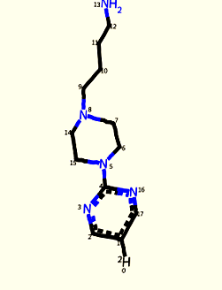 [2H]c1cnc(N2CCN(CCCCN)CC2)nc1